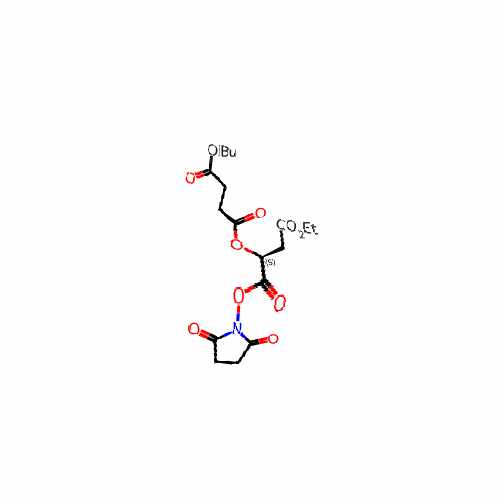 CCOC(=O)C[C@H](OC(=O)CCC(=O)OCC(C)C)C(=O)ON1C(=O)CCC1=O